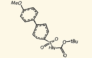 COc1ccc(-c2ccc(S(=O)(=O)NC(=O)OC(C)(C)C)cc2)cc1